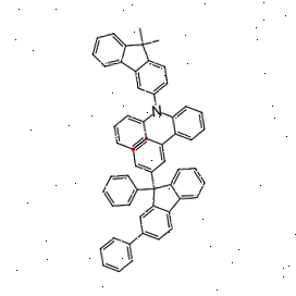 CC1(C)c2ccccc2-c2cc(N(c3ccccc3)c3ccccc3-c3cccc(C4(c5ccccc5)c5ccccc5-c5ccc(-c6ccccc6)cc54)c3)ccc21